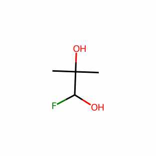 CC(C)(O)C(O)F